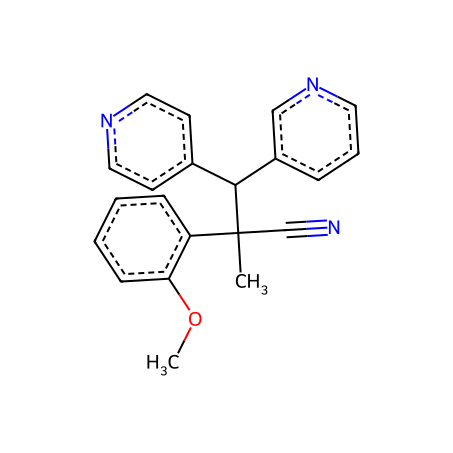 COc1ccccc1C(C)(C#N)C(c1ccncc1)c1cccnc1